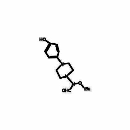 CC(C)(C)ON(C=O)N1CCN(c2ccc(O)cc2)CC1